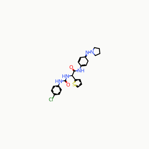 O=C(Nc1ccc(Cl)cc1)NC(C(=O)NC1=CCC(=NN2CCCC2)C=C1)c1cccs1